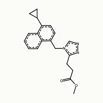 COC(=O)CCc1nncn1Cc1ccc(C2CC2)c2ccccc12